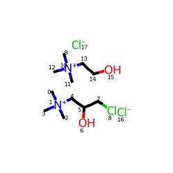 C[N+](C)(C)CC(O)CCl.C[N+](C)(C)CCO.[Cl-].[Cl-]